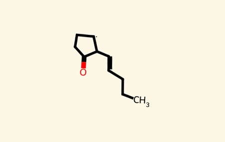 CCC/C=C/C1[CH]CCC1=O